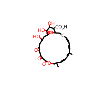 CC1=CC=CC(C)COC(=O)C2OC2C2OC2CC(O)CC2(O)OC(CCC=CC=C1)C(C(=O)O)C(O)C2O